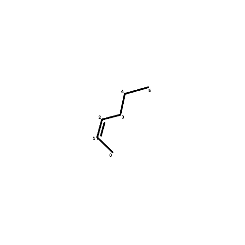 C/[C]=C\CCC